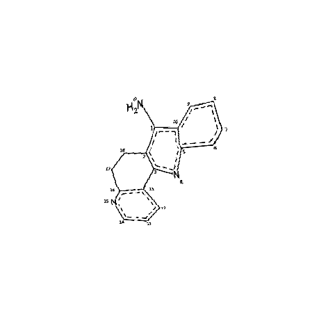 Nc1c2c(nc3ccccc13)-c1cccnc1CC2